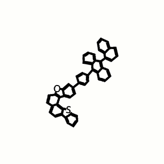 c1ccc2c(-c3c4ccccc4c(-c4ccc(-c5ccc6c(c5)oc5ccc7ccc8c9ccccc9sc8c7c56)cc4)c4ccccc34)cccc2c1